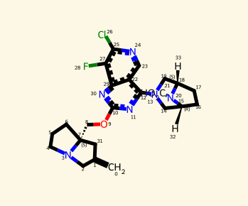 C=C1CN2CCC[C@@]2(COc2nc(N3C[C@H]4CC[C@@H](C3)N4C(=O)O)c3cnc(Cl)c(F)c3n2)C1